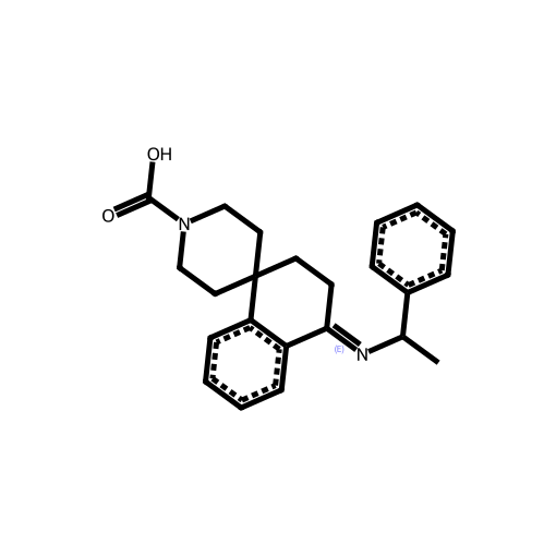 CC(/N=C1\CCC2(CCN(C(=O)O)CC2)c2ccccc21)c1ccccc1